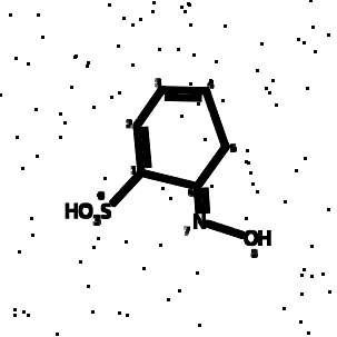 O=S(=O)(O)C1=CC=CCC1=NO